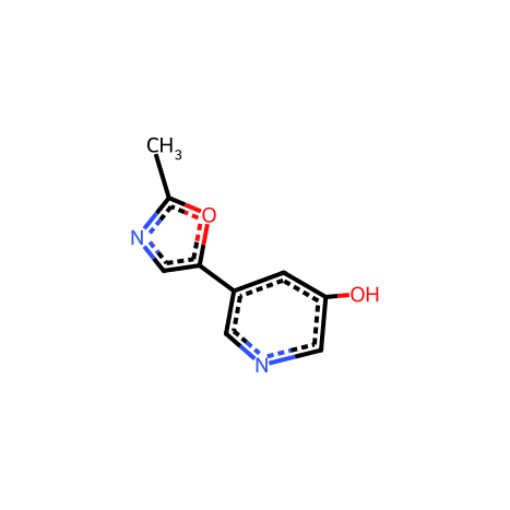 Cc1ncc(-c2cncc(O)c2)o1